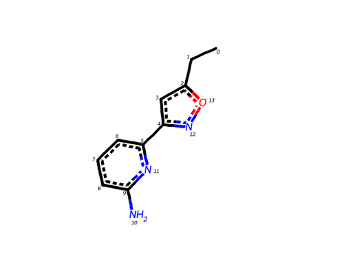 CCc1cc(-c2cccc(N)n2)no1